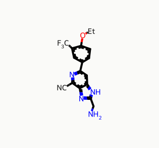 CCOc1ccc(-c2cc3[nH]c(CN)nc3c(C#N)n2)cc1C(F)(F)F